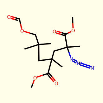 COC(=O)C(C)(CC(C)(C)COC=O)CC(C)(N=[N+]=[N-])C(=O)OC